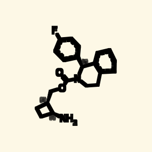 N[C@H]1CC[C@H]1COC(=O)N1CCc2ccccc2[C@@H]1c1ccc(F)cc1